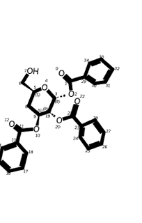 O=C(O[C@H]1O[C@H](CO)C[C@H](OC(=O)c2ccccc2)[C@H]1OC(=O)c1ccccc1)c1ccccc1